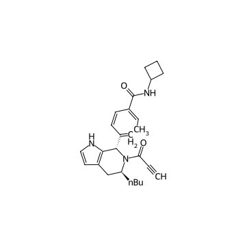 C#CC(=O)N1[C@@H](CCCC)Cc2cc[nH]c2[C@@H]1C(=C)/C=C\C(=C/C)C(=O)NC1CCC1